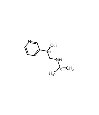 [CH2][C@H](C)NC[C@H](O)c1cccnc1